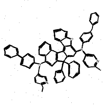 Cc1ccc(N(c2ccc(-c3ccccc3)cc2)c2cc3c(c4ccccc24)-c2c(cc(N(c4ccc(-c5ccccc5)cc4)c4ccc(C)nc4)c4oc5ccccc5c24)C3(c2ccccc2)c2ccccc2)cn1